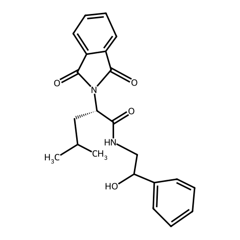 CC(C)C[C@@H](C(=O)NCC(O)c1ccccc1)N1C(=O)c2ccccc2C1=O